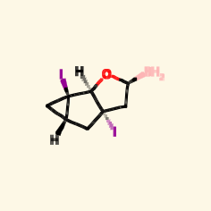 B[C@H]1C[C@@]2(I)C[C@@H]3C[C@]3(I)[C@H]2O1